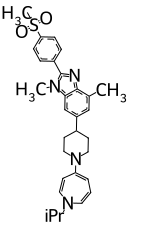 Cc1cc(C2CCN(C3=CC=CN(C(C)C)C=C3)CC2)cc2c1nc(-c1ccc(S(C)(=O)=O)cc1)n2C